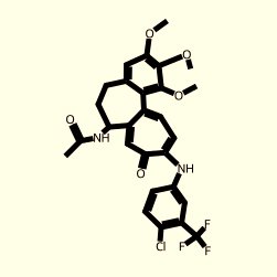 COc1cc2c(c(OC)c1OC)-c1ccc(Nc3ccc(Cl)c(C(F)(F)F)c3)c(=O)cc1C(NC(C)=O)CC2